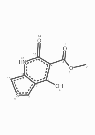 COC(=O)c1c(O)c2cscc2[nH]c1=O